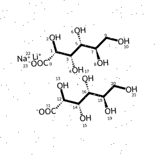 O=C([O-])[C@H](O)[C@@H](O)[C@H](O)[C@H](O)CO.O=C([O-])[C@H](O)[C@@H](O)[C@H](O)[C@H](O)CO.[Li+].[Na+]